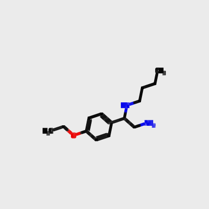 CCCCNC(CN)c1ccc(OCC)cc1